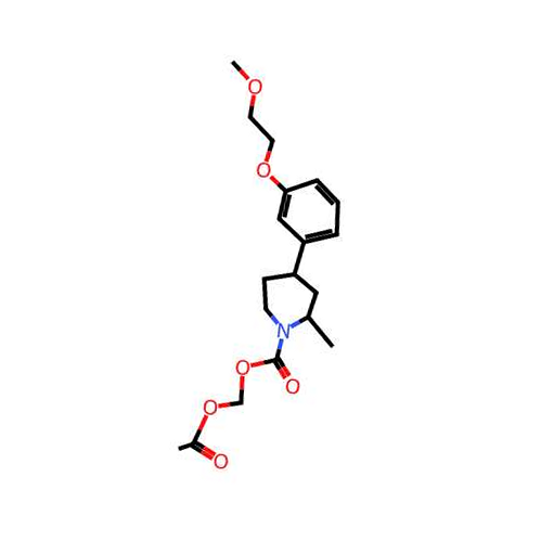 COCCOc1cccc(C2CCN(C(=O)OCOC(C)=O)C(C)C2)c1